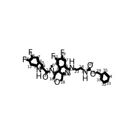 CN(C(=O)c1cc2cc(F)c(F)cc2[nH]1)[C@H]1COCc2nc(NCCNC(=O)OCc3ccccc3)c3cc(F)c(F)cc3c21